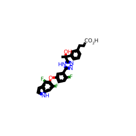 CC(O)(c1cccc(CCC(=O)O)c1)c1nnc(-c2cc(Oc3c(F)cc4[nH]ccc4c3F)ccc2F)[nH]1